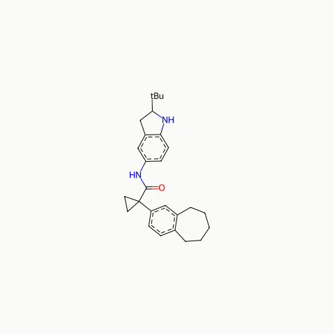 CC(C)(C)C1Cc2cc(NC(=O)C3(c4ccc5c(c4)CCCCC5)CC3)ccc2N1